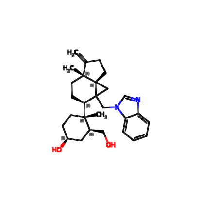 C=C1CC[C@@]23CC2(Cn2cnc4ccccc42)[C@@H]([C@@]2(C)CC[C@H](O)C[C@@H]2CO)CC[C@]13C